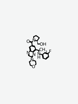 CC(Nc1cccc(F)c1)c1cc(C(=O)N2CCC[C@H]2CO)cc2ncc(N3CCOCC3)nc12